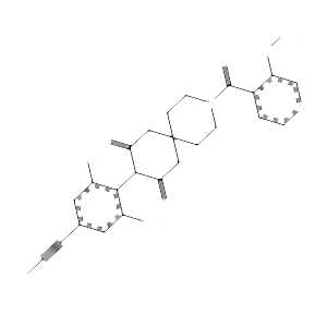 CC#Cc1cc(C)c(C2C(=O)CC3(CCN(C(=O)c4ccncc4OC)CC3)CC2=O)c(C)c1